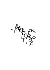 CCOC(=O)c1nc(CC)n(-c2ccc(CC(C)(C)C(F)(F)F)cc2OC(F)F)c1F